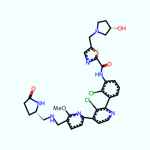 COc1nc(-c2ccnc(-c3cccc(NC(=O)c4ncc(CN5CC[C@H](O)C5)s4)c3Cl)c2Cl)ccc1CNC[C@@H]1CCC(=O)N1